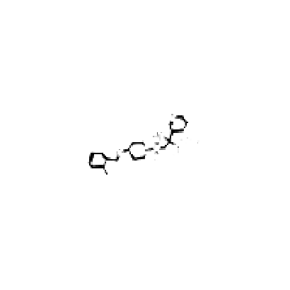 Cc1ccccc1COC1CCN(S(=O)(=O)CC(O)(NC=O)c2cccnc2)CC1